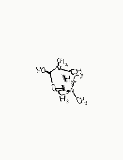 CC(O)N(C)C.CN(C)C